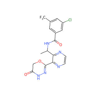 CC(NC(=O)c1cc(Cl)cc(C(F)(F)F)c1)c1nccnc1C1=NNC(=O)CO1